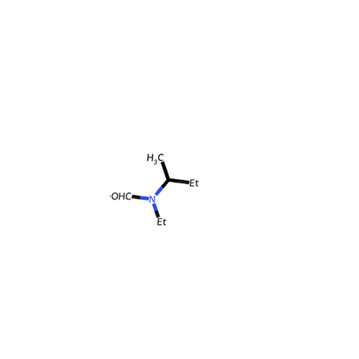 CCC(C)N([C]=O)CC